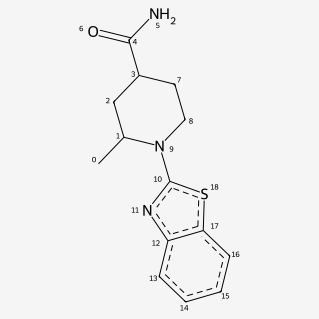 CC1CC(C(N)=O)CCN1c1nc2ccccc2s1